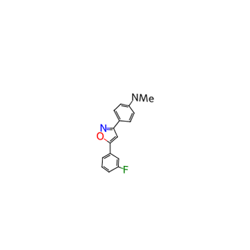 CNc1ccc(-c2cc(-c3cccc(F)c3)on2)cc1